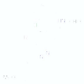 COc1ccc(Cn2cc3c(Br)cc(C(CNC=O)c4ccccc4Cl)cc3n2)cc1